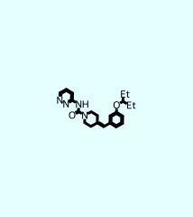 CCC(CC)Oc1cccc(C=C2CCN(C(=O)Nc3cccnn3)CC2)c1